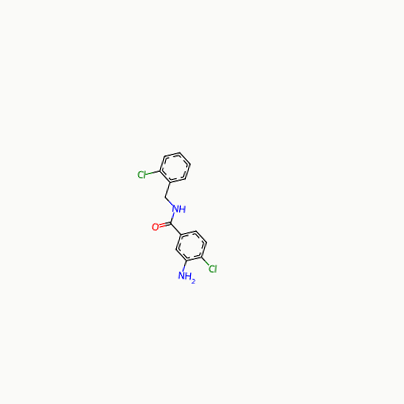 Nc1cc(C(=O)NCc2ccccc2Cl)ccc1Cl